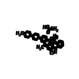 COc1cc(N2CCC(N3CCN(C)CC3)CC2)ccc1Nc1ncc(Cl)c(Nc2ccccc2N[SH](=O)=O)n1.NC(=O)O